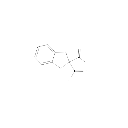 CC(=O)C1(C(C)=O)Cc2ccccc2C1